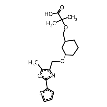 Cc1oc(-c2cccs2)nc1CO[C@H]1CCCC(COC(C)(C)C(=O)O)C1